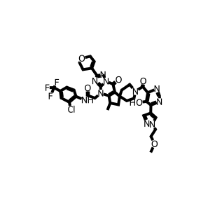 COCCn1cc(-c2ncnc(C(=O)N3CCC4(CC3)CC(C)c3c4c(=O)n4nc(C5=CCOCC5)nc4n3CC(=O)Nc3ccc(C(F)(F)F)cc3Cl)c2O)cn1